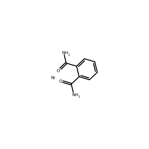 NC(=O)c1ccccc1C(N)=O.[Ni]